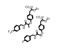 CCOC(Cc1ccc(OC(C)C(=O)NCc2ccc(C(F)(F)F)cc2)cc1)C(=O)O.CCO[C@@H](Cc1ccc(O[C@H](C)C(=O)NCc2ccc(F)cc2)cc1)C(=O)O